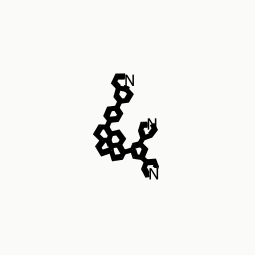 c1cnc2ccc(-c3ccc(-c4ccc5ccc6ccc(-c7cc(-c8ccncc8)cc(-c8ccncc8)c7)c7ccc4c5c67)cc3)cc2c1